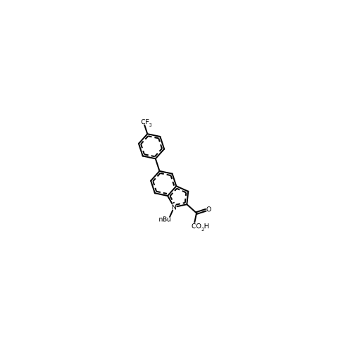 CCCCn1c(C(=O)C(=O)O)cc2cc(-c3ccc(C(F)(F)F)cc3)ccc21